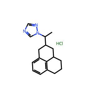 CC(C1Cc2cccc3c2C(CCC3)C1)n1cncn1.Cl